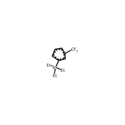 C[CH2][Sn]([CH2]C)([CH2]C)[c]1cccc(C(F)(F)F)c1